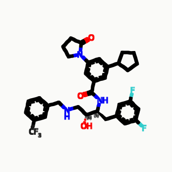 O=C(N[C@@H](Cc1cc(F)cc(F)c1)[C@H](O)CNCc1cccc(C(F)(F)F)c1)c1cc(C2CCCC2)cc(N2CCCC2=O)c1